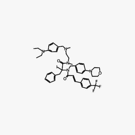 CCN(CC)c1ccc(CN(C)CCN(C)C(=O)C(I)(Cc2ccccc2)N(Cc2ccc(N3CCOCC3)cc2)C(=O)C=Cc2ccc(C(F)(F)F)cc2)cc1